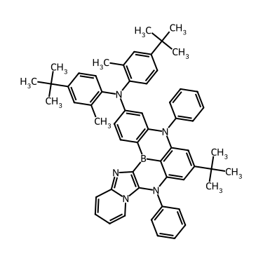 Cc1cc(C(C)(C)C)ccc1N(c1ccc2c(c1)N(c1ccccc1)c1cc(C(C)(C)C)cc3c1B2c1nc2ccccn2c1N3c1ccccc1)c1ccc(C(C)(C)C)cc1C